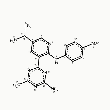 COc1ccc(Nc2ncc([C@H](N)C(F)(F)F)cc2-c2nc(C)nc(N)n2)cn1